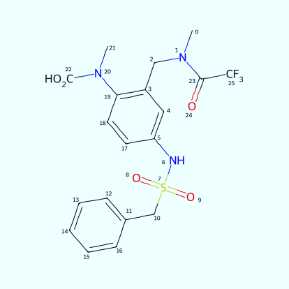 CN(Cc1cc(NS(=O)(=O)Cc2ccccc2)ccc1N(C)C(=O)O)C(=O)C(F)(F)F